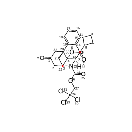 O=C1CCC2(OC(=O)C3CCC3)[C@H]3Cc4ccccc4[C@@]2(CCN3C(=O)OCC(Cl)(Cl)Cl)C1